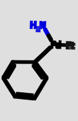 C[CH2][Pd]([NH2])[c]1ccccc1